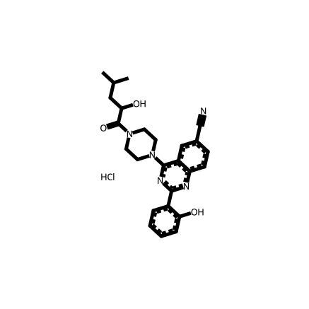 CC(C)CC(O)C(=O)N1CCN(c2nc(-c3ccccc3O)nc3ccc(C#N)cc23)CC1.Cl